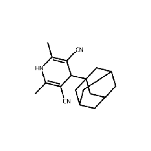 CC1=C(C#N)C(C23CC4CC(CC(C4)C2)C3)C(C#N)=C(C)N1